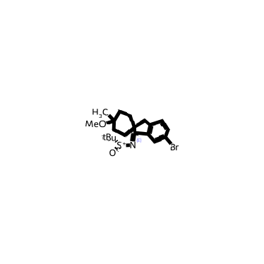 COC1(C)CCC2(CC1)Cc1ccc(Br)cc1/C2=N/[S+]([O-])C(C)(C)C